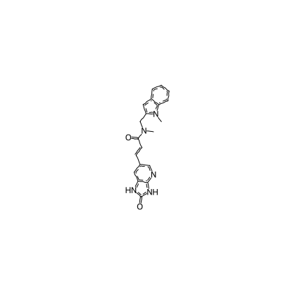 CN(Cc1cc2ccccc2n1C)C(=O)C=Cc1cnc2[nH]c(=O)[nH]c2c1